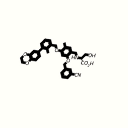 Cc1cc(CN[C@H](CO)C(=O)O)c(OCc2cccc(C#N)c2)cc1OCc1cccc(-c2ccc3c(c2)OCCO3)c1C